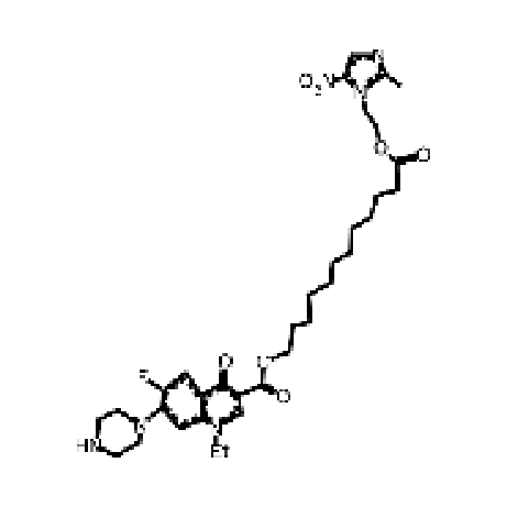 CCn1cc(C(=O)OCCCCCCCCCCCC(=O)OCCn2c([N+](=O)[O-])cnc2C)c(=O)c2cc(F)c(N3CCNCC3)cc21